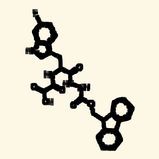 O=C(NNC(=O)C(Cc1c[nH]c2cc(F)ccc12)NC(=O)C(=O)O)OCC1c2ccccc2-c2ccccc21